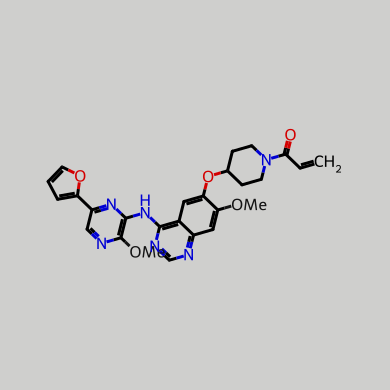 C=CC(=O)N1CCC(Oc2cc3c(Nc4nc(-c5ccco5)cnc4OC)ncnc3cc2OC)CC1